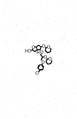 OC1C[C@@H]2C(CC(OC3CCCCO3)C2OCC(COc2ccc(Cl)cc2)OC2CCCCO2)O1